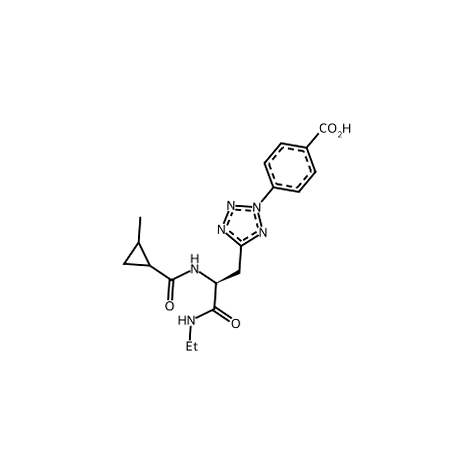 CCNC(=O)[C@H](Cc1nnn(-c2ccc(C(=O)O)cc2)n1)NC(=O)C1CC1C